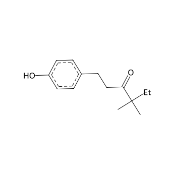 CCC(C)(C)C(=O)CCc1ccc(O)cc1